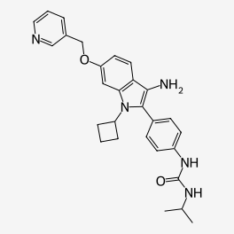 CC(C)NC(=O)Nc1ccc(-c2c(N)c3ccc(OCc4cccnc4)cc3n2C2CCC2)cc1